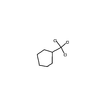 ClC(Cl)(Cl)C1C[CH]CCC1